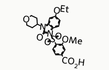 CCOc1ccc2c(c1)n(C1CCOCC1)c(=O)n2S(=O)(=O)c1ccc(C(=O)O)cc1OC